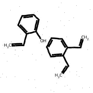 C=Cc1ccccc1C=C.C=Cc1ccccc1O